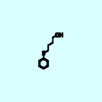 OCCCCSc1ccccc1